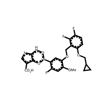 COc1cc(F)c(-n2o[nH]c3scc(C(=O)O)c3o2)cc1OCc1c(OCC2CC2)ccc(F)c1F